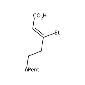 CCCCCCCC(=CC(=O)O)CC